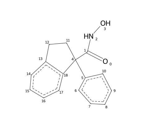 O=C(NO)C1(c2ccccc2)CCc2ccccc21